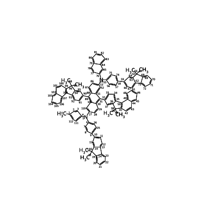 Cc1ccc(N(c2ccc(-c3ccc4c(c3)C(C)(C)c3ccccc3-4)cc2)c2ccc3c(-c4ccc5c(c4)C(C)(C)c4ccc6ccccc6c4-5)c4cc(N(c5ccc(-c6ccc7c(c6)C(C)(C)c6ccccc6-7)cc5)c5ccc6ccccc6c5)ccc4c(-c4ccc5c(c4)C(C)(C)c4ccc6ccccc6c4-5)c3c2)cc1